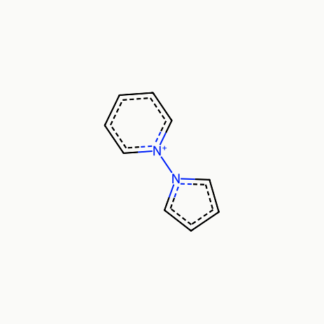 c1cc[n+](-n2cccc2)cc1